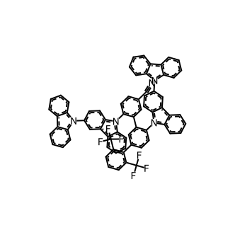 N#Cc1ccc(-n2c3ccccc3c3cc(-n4c5ccccc5c5ccccc54)ccc32)c(-c2cc(-c3c(C(F)(F)F)cccc3C(F)(F)F)ccc2-n2c3ccccc3c3cc(-n4c5ccccc5c5ccccc54)ccc32)c1